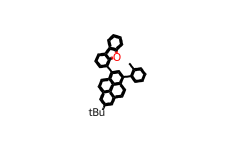 Cc1ccccc1-c1cc(-c2cccc3c2oc2ccccc23)c2ccc3cc(C(C)(C)C)cc4ccc1c2c43